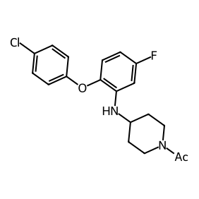 CC(=O)N1CCC(Nc2cc(F)ccc2Oc2ccc(Cl)cc2)CC1